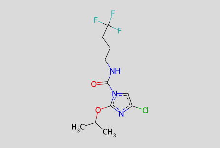 CC(C)Oc1nc(Cl)cn1C(=O)NCCCC(F)(F)F